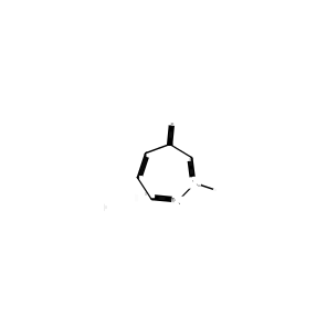 Cl.Cl.Cl.O=c1cccn[n+]([O-])c1